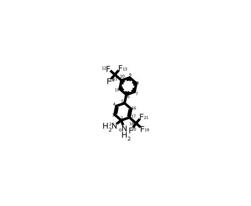 NC1(N)C=CC(c2cccc(C(F)(F)F)c2)C=C1C(F)(F)F